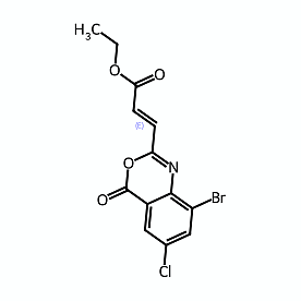 CCOC(=O)/C=C/c1nc2c(Br)cc(Cl)cc2c(=O)o1